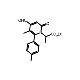 CCOC(=O)C(C)n1c(-c2ccc(C)cc2)c(C)c(C=O)cc1=O